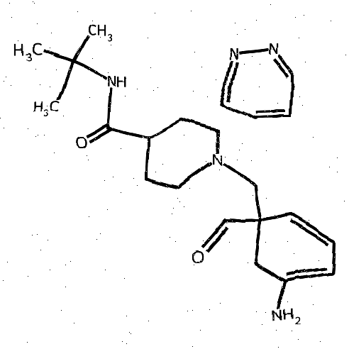 CC(C)(C)NC(=O)C1CCN(CC2(C=O)C=CC=C(N)C2)CC1.c1ccnnc1